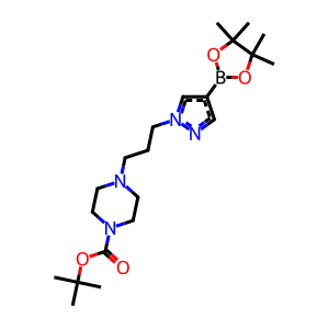 CC(C)(C)OC(=O)N1CCN(CCCn2cc(B3OC(C)(C)C(C)(C)O3)cn2)CC1